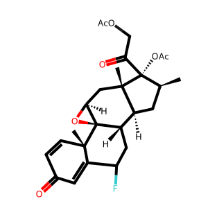 CC(=O)OCC(=O)[C@@]1(OC(C)=O)[C@@H](C)C[C@H]2[C@@H]3CC(F)C4=CC(=O)C=C[C@]4(C)[C@@]34O[C@H]4C[C@@]21C